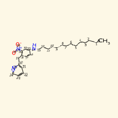 CCCCCCCCCCCCCCNc1ccc(Cc2ccccn2)c([N+](=O)[O-])c1